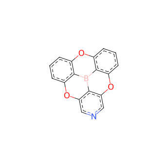 c1cc2c3c(c1)Oc1cncc4c1B3c1c(cccc1O4)O2